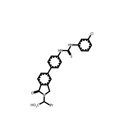 CC(C)C(C(=O)O)N1Cc2cc(-c3ccc(NC(=S)Nc4cccc(Cl)c4)cc3)ccc2C1=O